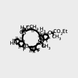 CCOC(=O)C(C)Oc1cccc(C2(C)CCCC(C)(C)CS(=O)(=O)CCc3c(c(F)cc4[nH]ccc34)Oc3ccc(F)c(c3)-c3nc2nn3C)c1